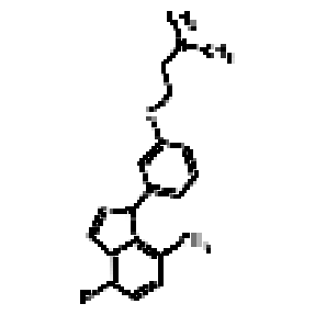 Cc1ccc(F)c2ccn(-c3cccc(OCCN(C)C)c3)c12